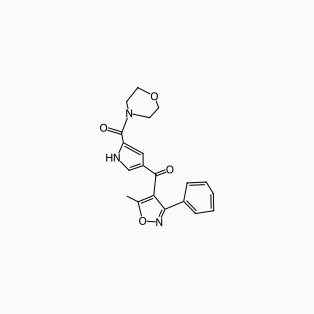 Cc1onc(-c2ccccc2)c1C(=O)c1c[nH]c(C(=O)N2CCOCC2)c1